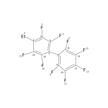 CCc1c(F)c(F)c(-c2c(F)c(F)c(F)c(F)c2F)c(F)c1F